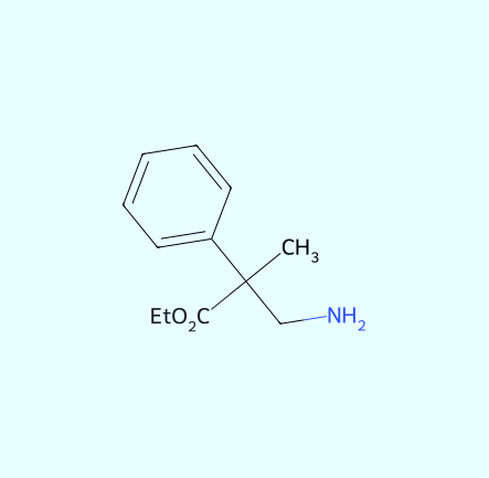 CCOC(=O)C(C)(CN)c1ccccc1